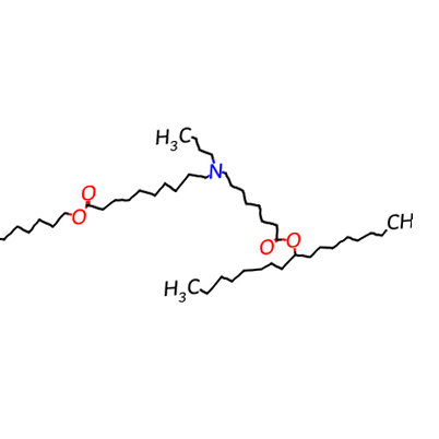 CCCCCCCCC(CCCCCCCC)OC(=O)CCCCCCCN(CCCC)CCCCCCCCCC(=O)OCCCCCCC